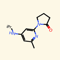 Cc1cc(NC(C)C)cc(N2CCCC2=O)n1